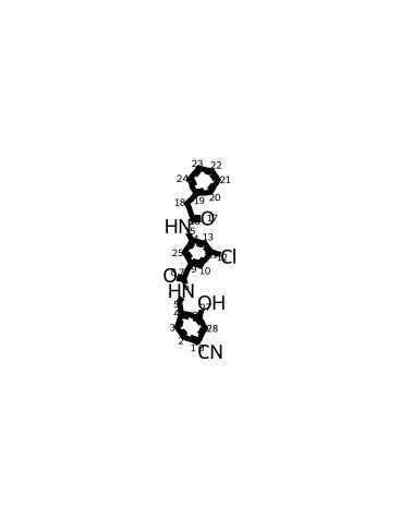 N#Cc1ccc(CNC(=O)c2cc(Cl)cc(NC(=O)Cc3ccccc3)c2)c(O)c1